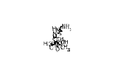 C[C@@H](O)[C@H]1C(=O)N2C(C(=O)O)=C(S[C@@H]3CN[C@H](c4nc(CN)cs4)C3)[C@H](C)[C@H]12